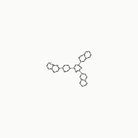 c1ccc2cc(-c3cc(-c4ccc(-c5ccc6ccccc6n5)cc4)nc(-c4ccc5ccccc5c4)n3)ccc2c1